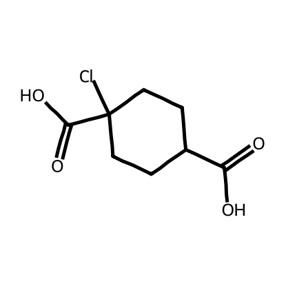 O=C(O)C1CCC(Cl)(C(=O)O)CC1